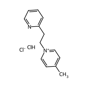 Cc1cc[n+](CCc2ccccn2)cc1.Cl.[Cl-]